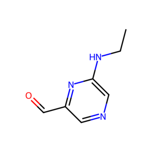 CCNc1cncc(C=O)n1